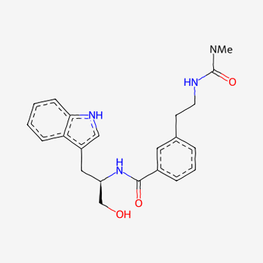 CNC(=O)NCCc1cccc(C(=O)N[C@@H](CO)Cc2c[nH]c3ccccc23)c1